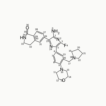 Nc1nc(F)c(-c2ccc(N3CCOCC3)c(CN3CCCC3)c2)nc1-c1ccc2c(c1)CCNC2=O